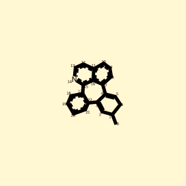 CC1C=C2C(=CC1)c1cccc3ccnc(c13)-c1ccccc12